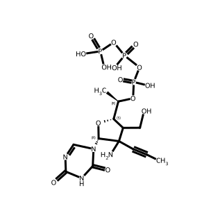 CC#CC1(N)C(CO)[C@@H]([C@@H](C)OP(=O)(O)OP(=O)(O)OP(=O)(O)O)O[C@H]1n1cnc(=O)[nH]c1=O